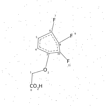 O=C(O)COc1ccc(F)c(F)c1F